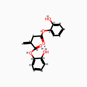 C=C(CC(=O)Oc1ccccc1O)C(=O)Oc1ccccc1O